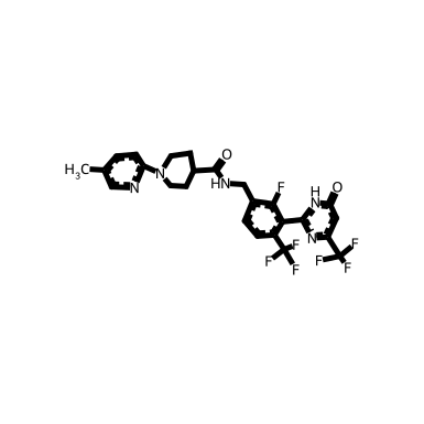 Cc1ccc(N2CCC(C(=O)NCc3ccc(C(F)(F)F)c(-c4nc(C(F)(F)F)cc(=O)[nH]4)c3F)CC2)nc1